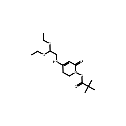 CCOC(CNC1=CC(=O)N(OC(=O)C(C)(C)C)CC1)OCC